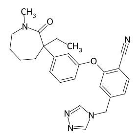 CCC1(c2cccc(Oc3cc(Cn4cnnc4)ccc3C#N)c2)CCCCN(C)C1=O